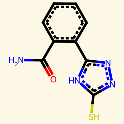 NC(=O)c1ccccc1-c1nnc(S)[nH]1